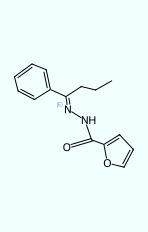 CCC/C(=N\NC(=O)c1ccco1)c1ccccc1